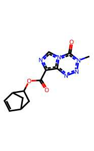 Cn1nnc2c(C(=O)OC3CC4C=CC3C4)ncn2c1=O